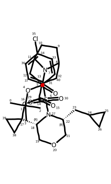 CC(C)(C)OC(=O)N1C2CCC1CN(C(=O)OC1([C@H]3COC[C@@H](CC4CC4)N3S(=O)(=O)c3ccc(Cl)cc3)CC1)C2